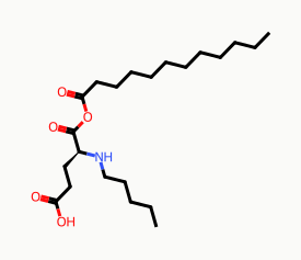 CCCCCCCCCCCC(=O)OC(=O)[C@H](CCC(=O)O)NCCCCC